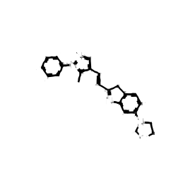 Cc1c(/C=C/C2=Nc3cc(N4CCOC4)ccc3C2)cnn1-c1ccccc1